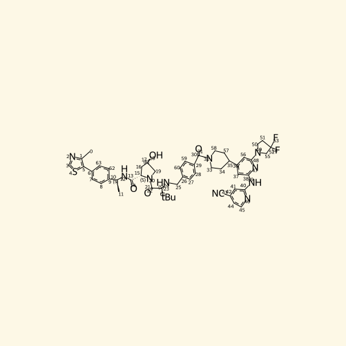 Cc1ncsc1-c1ccc([C@H](C)NC(=O)[C@@H]2C[C@@H](O)CN2C(=O)[C@@H](NCc2ccc(C(=O)N3CCC(c4cc(Nc5cc(C#N)ccn5)nc(N5CCC(F)(F)C5)c4)CC3)cc2)C(C)(C)C)cc1